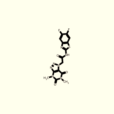 Cn1c(=O)c2c(nnn2CC(=O)Nc2nc3cc(F)c(F)cc3s2)n(C)c1=O